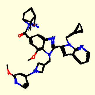 COc1cc(N2CC(Cn3c(-c4cc5cccnc5n4CC4CC4)nc4cc(C(=O)N5CC6CCC5[C@@H]6N)cc(OC)c43)C2)ccn1